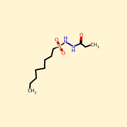 CCCCCCCCS(=O)(=O)NNC(=O)CC